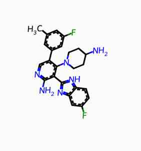 Cc1cc(F)cc(-c2cnc(N)c(-c3nc4cc(F)ccc4[nH]3)c2N2CCC(N)CC2)c1